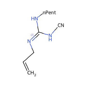 C=CC/N=C(\NC#N)NCCCCC